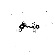 O=C(CCCc1coc2ccc(O)cc12)NC1CCCC1